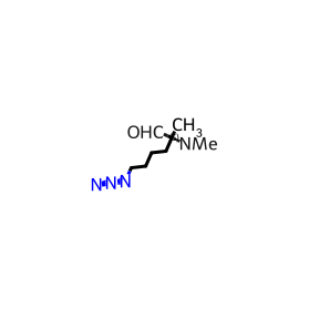 CN[C@](C)(C=O)CCCCN=[N+]=[N-]